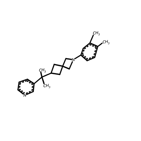 Cc1ccc(N2CC3(CC(C(C)(C)c4cccnc4)C3)C2)cc1C